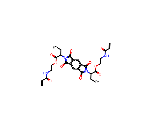 C=CC(=O)NCCOC(=O)C(CC(C)C)n1c(=O)c2cc3c(=O)n(C(CC(C)C)C(=O)OCCNC(=O)C=C)c(=O)c3cc2c1=O